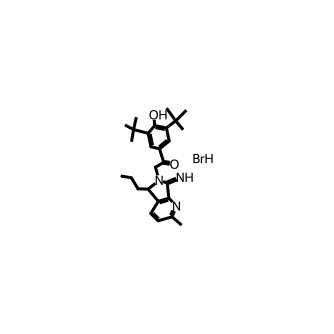 Br.CCCC1c2ccc(C)nc2C(=N)N1CC(=O)c1cc(C(C)(C)C)c(O)c(C(C)(C)C)c1